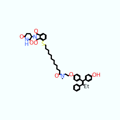 CCC(=C(c1ccc(O)cc1)c1ccc(OCCN(C)C(=O)CCCCCCCCCCCSc2cccc3c2C(=O)N(C2CCC(=O)NC2=O)C3=O)cc1)c1ccccc1